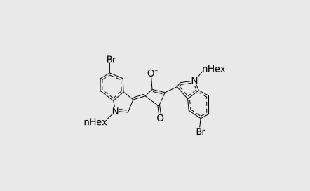 CCCCCCn1cc(C2=C([O-])C(=C3C=[N+](CCCCCC)c4ccc(Br)cc43)C2=O)c2cc(Br)ccc21